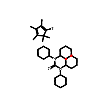 CC1=C(C)C(C)(C)[C]([Ti])=C1C.O=C(N(C1CCCCC1)C1CCCCC1)N(C1CCCCC1)C1CCCCC1